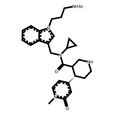 CC(=O)NCCCn1cc(CN(C(=O)C2CNCC[C@@H]2c2ccn(C)c(=O)c2)C2CC2)c2ccccc21